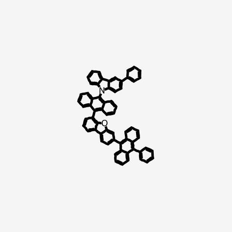 c1ccc(-c2ccc3c(c2)c2ccccc2n3-c2c3ccccc3c(-c3cccc4c3oc3cc(-c5c6ccccc6c(-c6ccccc6)c6ccccc56)ccc34)c3ccccc23)cc1